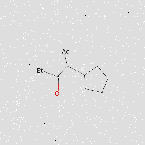 CCC(=O)C(C(C)=O)C1CCCC1